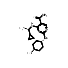 C[C@@H](Nc1nc(N[C@H]2CC[C@H](O)CC2)ncc1C(N)=O)C1CC1